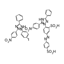 O=[N+]([O-])c1ccc(N2N=C(c3ccccc3)NN2c2ccc(I)cc2)cc1.O=[N+]([O-])c1ccc(N2NC(c3ccccc3)=NN2c2ccc(N=Nc3ccc(S(=O)(=O)O)cc3)cc2S(=O)(=O)O)cc1